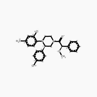 CO[C@@H](C(=O)N1CCN(c2ccc(C)cc2Cl)[C@H](c2ccc(Cl)cc2)C1)c1ccccc1